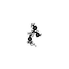 CCS(=O)(=O)c1ccc(CC(=O)Nc2nc(-c3cccc(C(F)(F)F)c3)c(C(=O)c3cccc(F)c3)s2)cc1